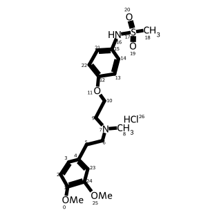 COc1ccc(CCN(C)CCOc2ccc(NS(C)(=O)=O)cc2)cc1OC.Cl